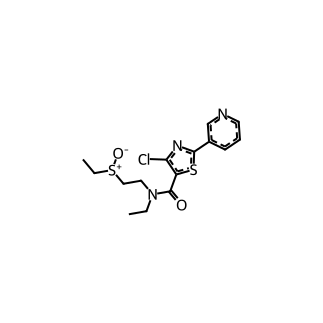 CCN(CC[S+]([O-])CC)C(=O)c1sc(-c2cccnc2)nc1Cl